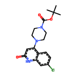 CC(C)(C)OC(=O)N1CCN(c2cc(=O)[nH]c3cc(Cl)ccc23)CC1